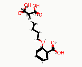 O=C(O)c1ccccc1OCCCCCC(C(=O)O)C(=O)O